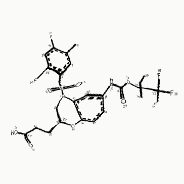 Cc1cc(S(=O)(=O)N2C[C@H](CCC(=O)O)Oc3ccc(NC(=O)OC(C)(C)C(F)(F)F)cc32)c(F)cc1F